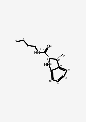 CCCCNC(=O)[C@H]1Nc2ccccc2[C@H]1C